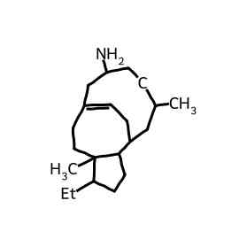 CCC1CCC2C3C/C=C(\CCC12C)CC(N)CCC(C)C3